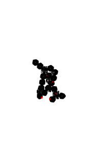 O=P(c1ccccc1)(c1ccccc1)c1cccc(-c2cccc(-c3cccc(-c4nc(-c5ccc(-c6ccccc6)cc5)nc(-c5ccc(-c6ccc(-c7ccc(P(=O)(c8ccccc8)c8cccc(-c9cccc(-c%10cccc(-c%11nc(-c%12ccccc%12)nc(-c%12ccccc%12)n%11)c%10)n9)c8)cc7)cc6)cc5)n4)c3)n2)c1